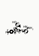 N=C(N)N1CCOC(CNC(=O)C[C@H](NS(=O)(=O)c2ccc(C(F)(F)F)cc2)C(=O)N(CC(=O)O)C2CC2)C1